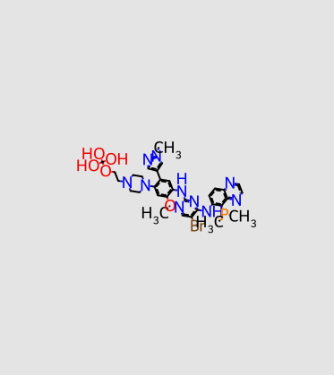 COc1cc(N2CCN(CCOC(O)(O)O)CC2)c(-c2cnn(C)c2)cc1Nc1ncc(Br)c(Nc2ccc3nccnc3c2P(C)C)n1